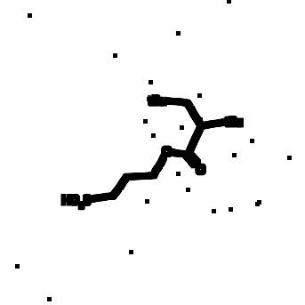 CC(C)(C)CC(C(=O)OCCCS(=O)(=O)O)C(C)(C)C